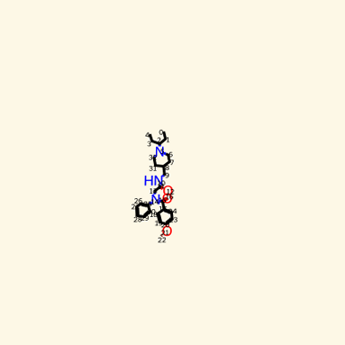 CCC(CC)N1CCC(CNC(=O)CN(C(=O)c2ccc(OC)cc2)c2ccccc2)CC1